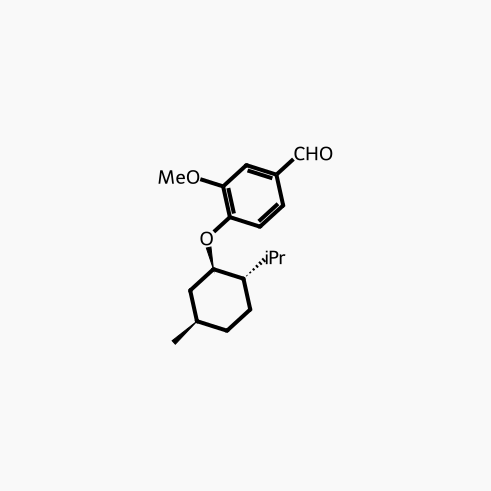 COc1cc(C=O)ccc1O[C@@H]1C[C@H](C)CC[C@H]1C(C)C